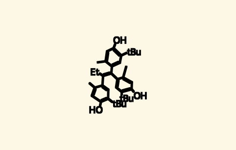 CCC(=C(c1cc(C(C)(C)C)c(O)cc1C)c1cc(C(C)(C)C)c(O)cc1C)c1cc(C(C)(C)C)c(O)cc1C